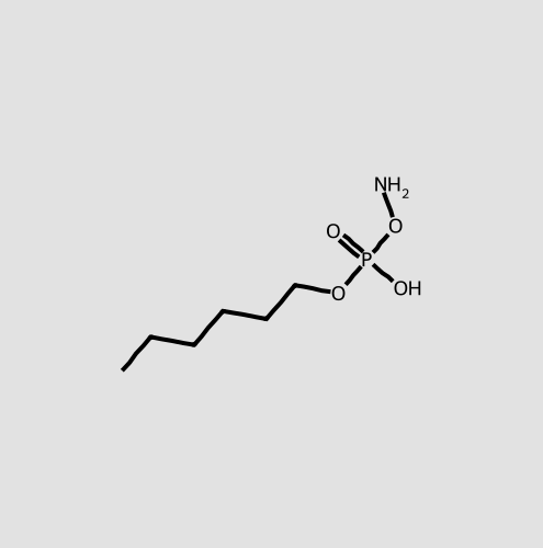 CCCCCCOP(=O)(O)ON